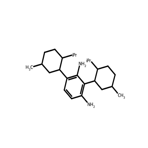 CC1CCC(C(C)C)C(c2ccc(N)c(C3CC(C)CCC3C(C)C)c2N)C1